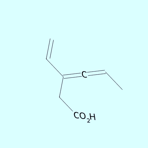 C=CC(=C=CC)CC(=O)O